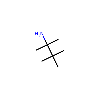 CC(C)(C)C(C)(C)N